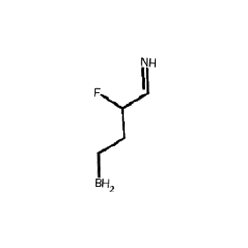 BCCC(F)C=N